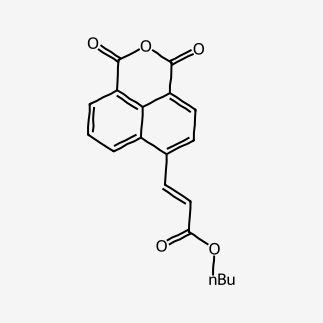 CCCCOC(=O)/C=C/c1ccc2c3c(cccc13)C(=O)OC2=O